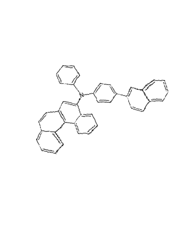 c1ccc(N(c2ccc(-c3ccc4ccccc4c3)cc2)c2cc3ccc4ccccc4c3c3ccccc23)cc1